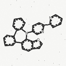 c1ccc(-c2ccc(N3c4ccccc4-c4ccccc4-c4ccc5ccoc5c43)cn2)nc1